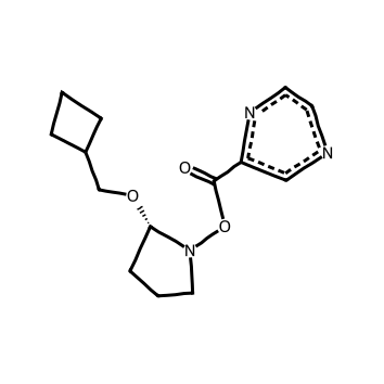 O=C(ON1CCC[C@@H]1OCC1CCC1)c1cnccn1